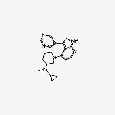 CN(C1CC1)C1CCCN(c2ccnc3[nH]cc(-c4cncnc4)c23)C1